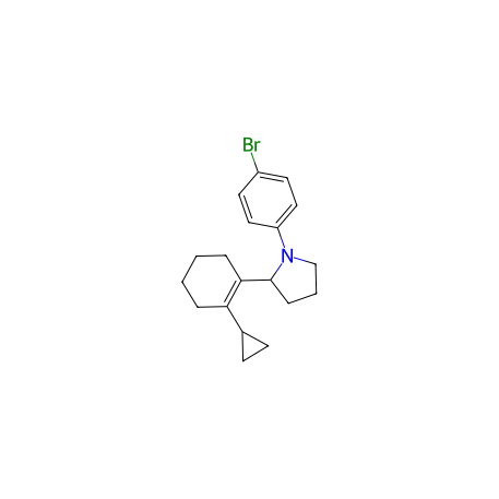 Brc1ccc(N2CCCC2C2=C(C3CC3)CCCC2)cc1